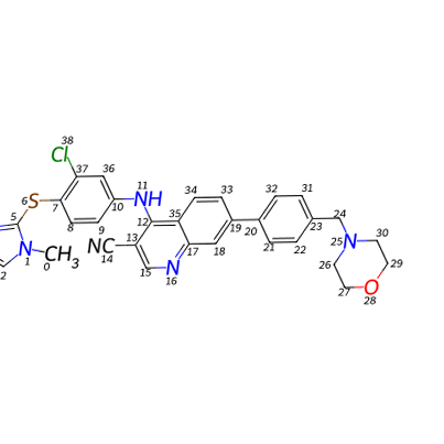 Cn1ccnc1Sc1ccc(Nc2c(C#N)cnc3cc(-c4ccc(CN5CCOCC5)cc4)ccc23)cc1Cl